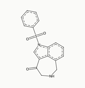 O=C1CNCc2cccc3c2c1cn3S(=O)(=O)c1ccccc1